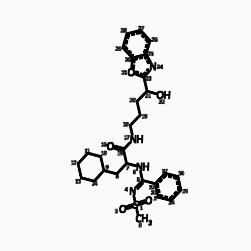 CS(=O)(=O)N=C(NC(CC1CCCCC1)C(=O)NCCCC(O)c1nc2ccccc2o1)c1ccccc1